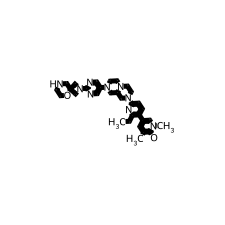 CCc1nc(N2CCN3CCN(c4cnc(N5CC6(CNCCO6)C5)nc4)CC3C2)ccc1-c1cc(C)c(=O)n(C)c1